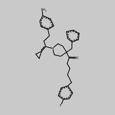 Bc1ccc(CCC(=C2CC2)N2CCC(Cc3ccccc3)(C(=O)CCCCc3ccc(F)cc3)CC2)cc1